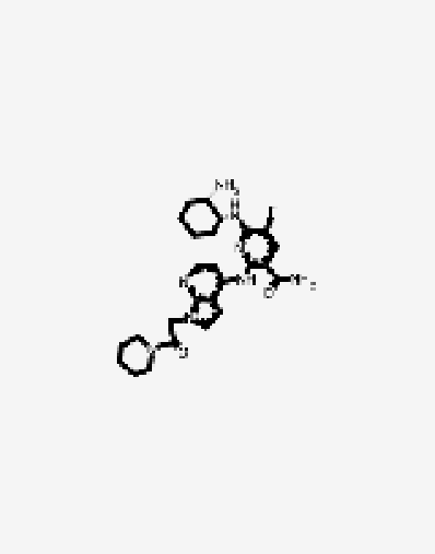 NC(=O)c1cc(F)c(N[C@@H]2CCCC[C@@H]2N)nc1Nc1ccnc2c1ccn2CC(=O)N1CCCCC1